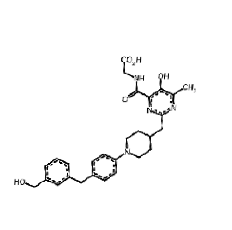 Cc1nc(CC2CCN(c3ccc(Cc4cccc(CO)c4)cc3)CC2)nc(C(=O)NCC(=O)O)c1O